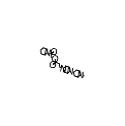 CN1CCC(N2CCN(CCC(=O)OCC(=O)N3CCCCC3)CC2)CC1